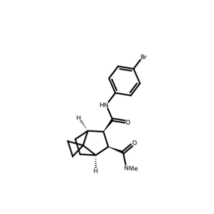 CNC(=O)[C@@H]1[C@H](C(=O)Nc2ccc(Br)cc2)[C@@H]2CC[C@H]1C21CC1